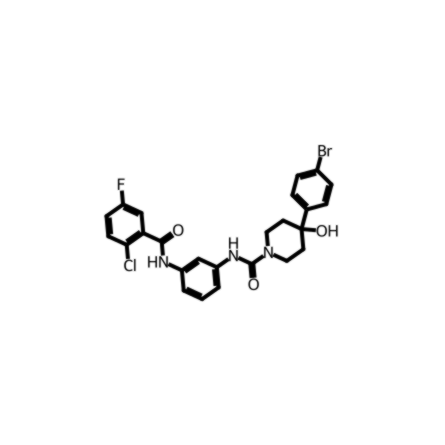 O=C(Nc1cccc(NC(=O)N2CCC(O)(c3ccc(Br)cc3)CC2)c1)c1cc(F)ccc1Cl